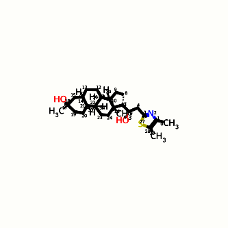 Cc1nc(C[C@H](O)[C@H]2CC[C@H]3[C@@H]4CC[C@@H]5C[C@](C)(O)CC[C@@H]5[C@H]4CC[C@]23C)sc1C